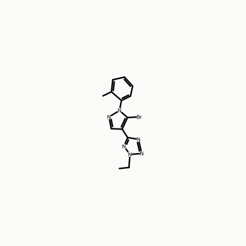 CCn1nnc(-c2cnn(-c3ccccc3C)c2Br)n1